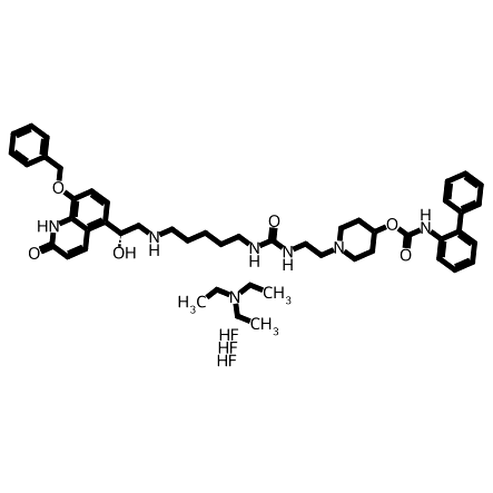 CCN(CC)CC.F.F.F.O=C(NCCCCCNC[C@H](O)c1ccc(OCc2ccccc2)c2[nH]c(=O)ccc12)NCCN1CCC(OC(=O)Nc2ccccc2-c2ccccc2)CC1